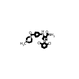 CN1CCCN(C(=O)c2ccc(Nc3cn(-c4c(Cl)cccc4Cl)nc3C(N)=O)cc2)CC1